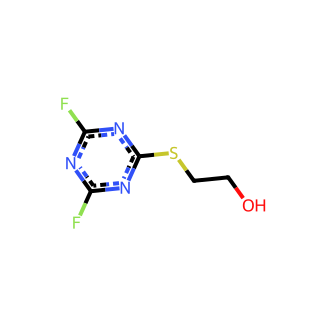 OCCSc1nc(F)nc(F)n1